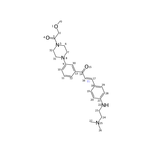 COCC(=O)N1CCN(c2cccc(C(=O)/C=C/c3ccc(NCCN(C)C)cc3)c2)CC1